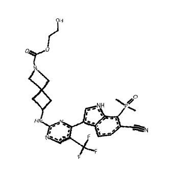 CP(C)(=O)c1c(C#N)ccc2c(-c3nc(NC4CC5(C4)CN(C(=O)OCCO)C5)ncc3C(F)(F)F)c[nH]c12